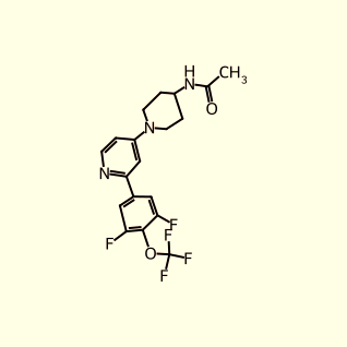 CC(=O)NC1CCN(c2ccnc(-c3cc(F)c(OC(F)(F)F)c(F)c3)c2)CC1